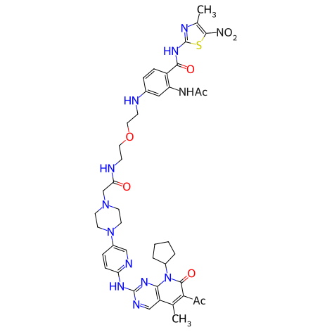 CC(=O)Nc1cc(NCCOCCNC(=O)CN2CCN(c3ccc(Nc4ncc5c(C)c(C(C)=O)c(=O)n(C6CCCC6)c5n4)nc3)CC2)ccc1C(=O)Nc1nc(C)c([N+](=O)[O-])s1